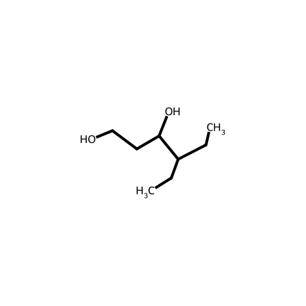 CCC(CC)C(O)CCO